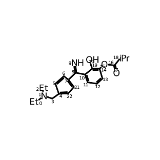 CCN(CC)Cc1ccc(C(=N)c2cccc(OC(=O)C(C)C)c2O)cc1